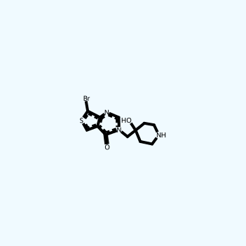 O=c1c2csc(Br)c2ncn1CC1(O)CCNCC1